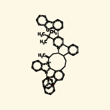 C=C1CC2C(CCc3ccc4c(oc5ccccc54)c3-c3n(-c4ccccc4)c4ccccc4[n+]31)c1ccccc1-c1cc(-c3cccc4c3oc3ccccc34)c([Si](C)(C)C)c[n+]12